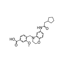 COc1cc(C(=O)O)ccc1CN1CCOc2ccc(NC(=O)CC3CCCC3)cc21